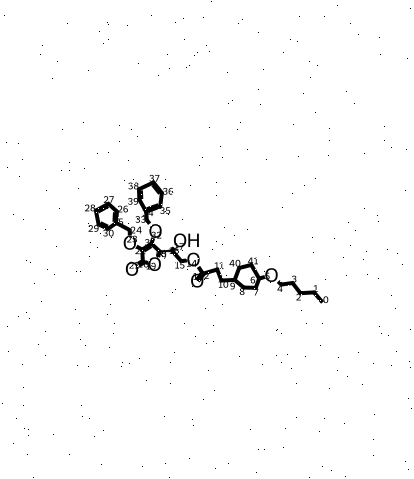 CCCCCOC1CCC(CCC(=O)OCC(O)[C@H]2OC(=O)C(OCc3ccccc3)=C2OCc2ccccc2)CC1